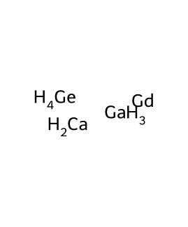 [CaH2].[GaH3].[Gd].[GeH4]